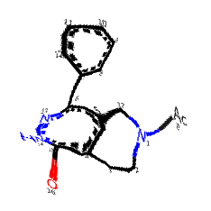 CC(=O)N1CCc2c(c(-c3ccccc3)n[nH]c2=O)C1